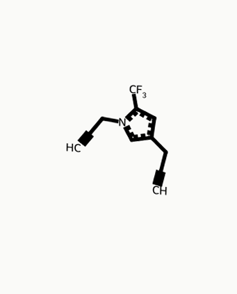 C#CCc1cc(C(F)(F)F)n(CC#C)c1